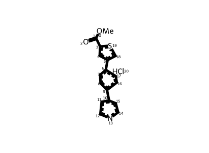 COC(=O)c1cc(-c2ccc(-c3ccncc3)cc2)cs1.Cl